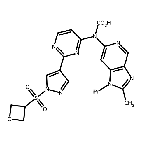 Cc1nc2cnc(N(C(=O)O)c3ccnc(-c4cnn(S(=O)(=O)C5COC5)c4)n3)cc2n1C(C)C